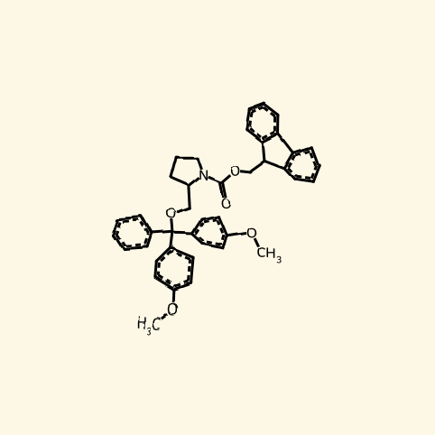 COc1ccc(C(OCC2CCCN2C(=O)OCC2c3ccccc3-c3ccccc32)(c2ccccc2)c2ccc(OC)cc2)cc1